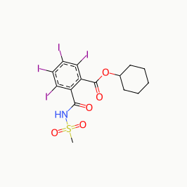 CS(=O)(=O)NC(=O)c1c(I)c(I)c(I)c(I)c1C(=O)OC1CCCCC1